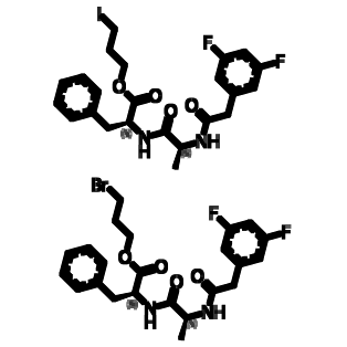 C[C@H](NC(=O)Cc1cc(F)cc(F)c1)C(=O)N[C@@H](Cc1ccccc1)C(=O)OCCCBr.C[C@H](NC(=O)Cc1cc(F)cc(F)c1)C(=O)N[C@@H](Cc1ccccc1)C(=O)OCCCI